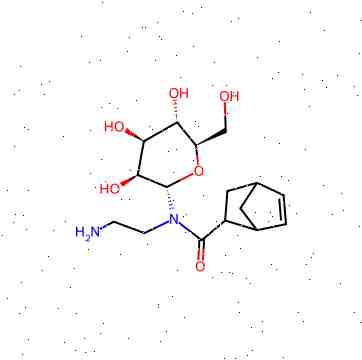 NCCN(C(=O)C1CC2C=CC1C2)[C@H]1O[C@H](CO)[C@@H](O)[C@H](O)[C@@H]1O